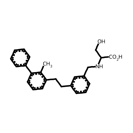 Cc1c(CCc2cccc(CNC(CO)C(=O)O)c2)cccc1-c1ccccc1